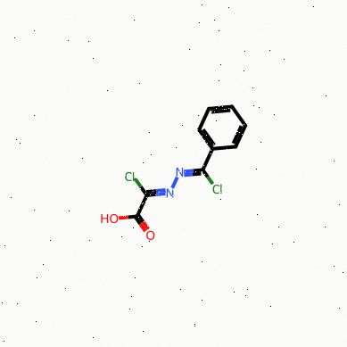 O=C(O)C(Cl)=NN=C(Cl)c1ccccc1